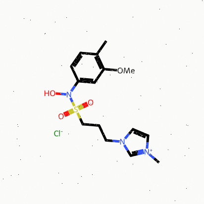 COc1cc(N(O)S(=O)(=O)CCCn2cc[n+](C)c2)ccc1C.[Cl-]